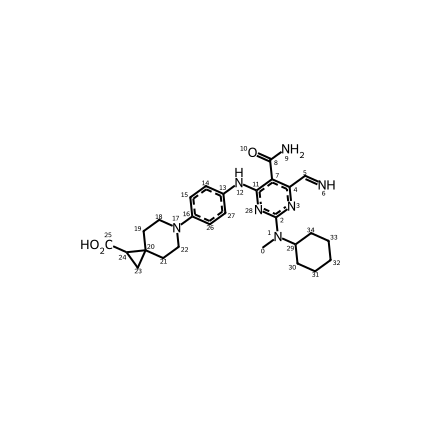 CN(c1nc(C=N)c(C(N)=O)c(Nc2ccc(N3CCC4(CC3)CC4C(=O)O)cc2)n1)C1CCCCC1